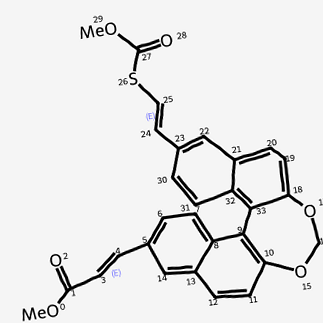 COC(=O)/C=C/c1ccc2c3c(ccc2c1)OCOc1ccc2cc(/C=C/SC(=O)OC)ccc2c1-3